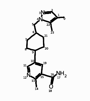 Cc1cnn(CC2CCC(c3cnc(C)c(C(N)=O)c3)CC2)c1C